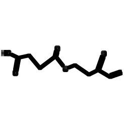 C=CC(=O)CCOC(=O)CCC(=O)O